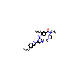 COc1ccc2[nH]c(-c3cncc(Nc4ccc(C(=O)N(C)C5CCN(C)C5)cc4OC)n3)cc2c1